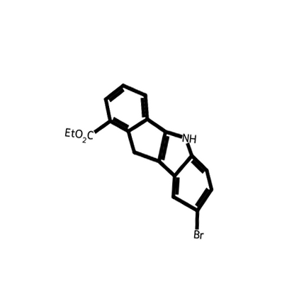 CCOC(=O)c1cccc2c1Cc1c-2[nH]c2ccc(Br)cc12